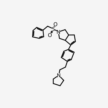 O=S(=O)(Cc1ccccc1)N1CC2CC=C(c3ccc(CCN4CCCC4)cc3)C2C1